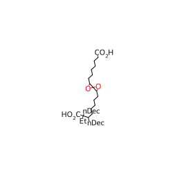 CCCCCCCCCCC(CCCCCC1OC12OC2CCCCCCC(=O)O)C(CC)(CCCCCCCCCC)C(=O)O